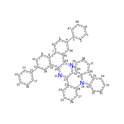 c1ccc(-c2ccc3c4ccc(-c5ccccc5)cc4c4nc(-c5ccccc5-n5c6ccccc6c6ccccc65)cnc4c3c2)cc1